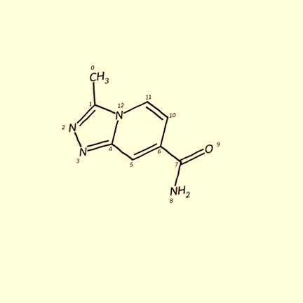 Cc1nnc2cc(C(N)=O)ccn12